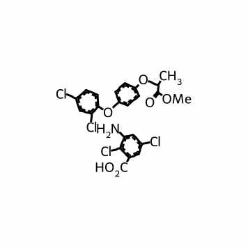 COC(=O)C(C)Oc1ccc(Oc2ccc(Cl)cc2Cl)cc1.Nc1cc(Cl)cc(C(=O)O)c1Cl